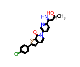 C[C@H](O)CC(=N)c1ccc(-n2ccc3cc(-c4ccc(Cl)cc4)sc3c2=O)cn1